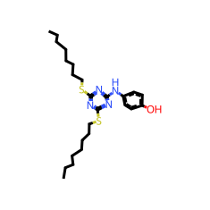 CCCCCCCCSc1nc(Nc2ccc(O)cc2)nc(SCCCCCCCC)n1